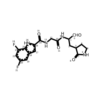 O=CC(CC1CCNC1=O)NC(=O)CNC(=O)c1cc2cc(F)cc(F)c2[nH]1